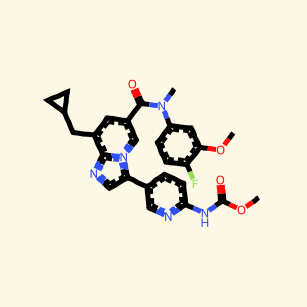 COC(=O)Nc1ccc(-c2cnc3c(CC4CC4)cc(C(=O)N(C)c4ccc(F)c(OC)c4)cn23)cn1